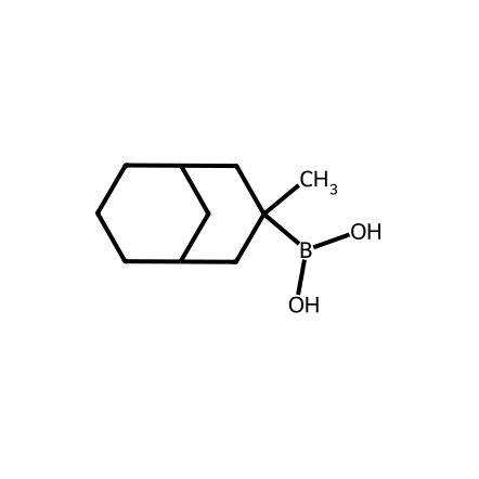 CC1(B(O)O)CC2CCCC(C2)C1